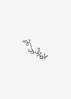 CC(C)C(CCCCCN1C(=O)CC[C@@H]1/C=C/[C@@H](O)C(F)(F)c1cccc(C(F)(F)F)c1)C(=O)O